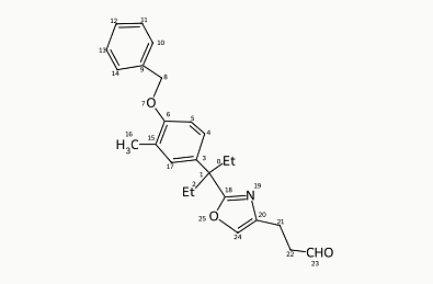 CCC(CC)(c1ccc(OCc2ccccc2)c(C)c1)c1nc(CCC=O)co1